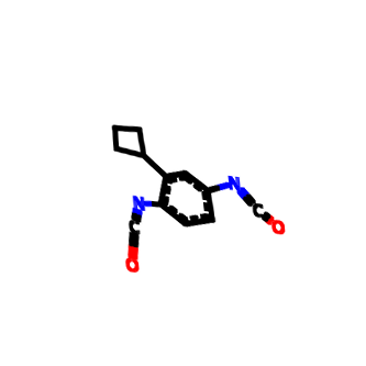 O=C=Nc1ccc(N=C=O)c(C2CCC2)c1